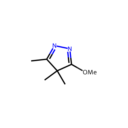 COC1=NN=C(C)C1(C)C